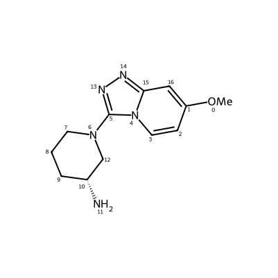 COc1ccn2c(N3CCC[C@@H](N)C3)nnc2c1